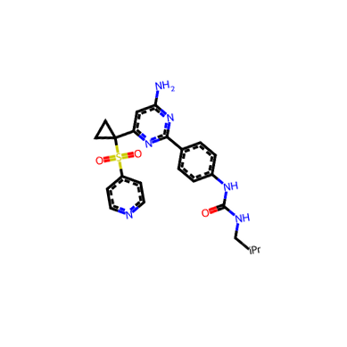 CC(C)CNC(=O)Nc1ccc(-c2nc(N)cc(C3(S(=O)(=O)c4ccncc4)CC3)n2)cc1